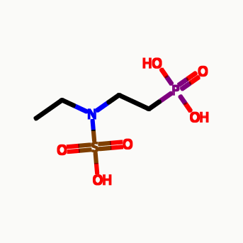 CCN(CCP(=O)(O)O)S(=O)(=O)O